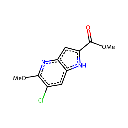 COC(=O)c1cc2nc(OC)c(Cl)cc2[nH]1